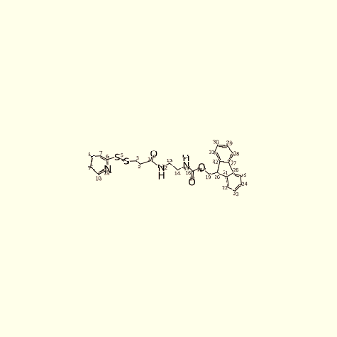 O=C(CCSSc1ccccn1)NCCNC(=O)OCC1c2ccccc2-c2ccccc21